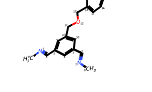 C/N=C/c1cc(/C=N/C)cc(COCc2ccccc2)c1